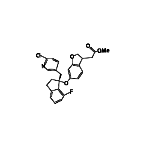 COC(=O)CC1COc2cc(O[C@@]3(Cc4ccc(Cl)nc4)CCc4cccc(F)c43)ccc21